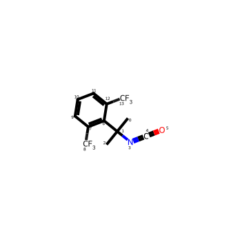 CC(C)(N=C=O)c1c(C(F)(F)F)cccc1C(F)(F)F